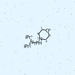 CC(C)N(PN1CCOCC1)C(C)C